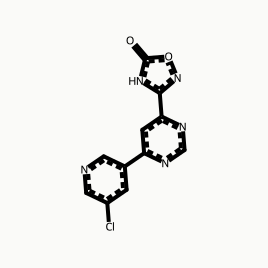 O=c1[nH]c(-c2cc(-c3cncc(Cl)c3)ncn2)no1